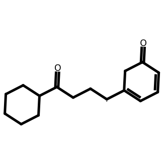 O=C1C=CC=C([CH]CCC(=O)C2CCCCC2)C1